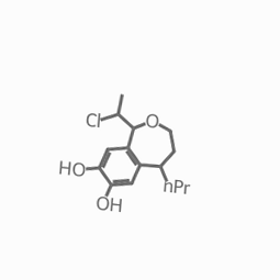 CCCC1CCOC(C(C)Cl)c2cc(O)c(O)cc21